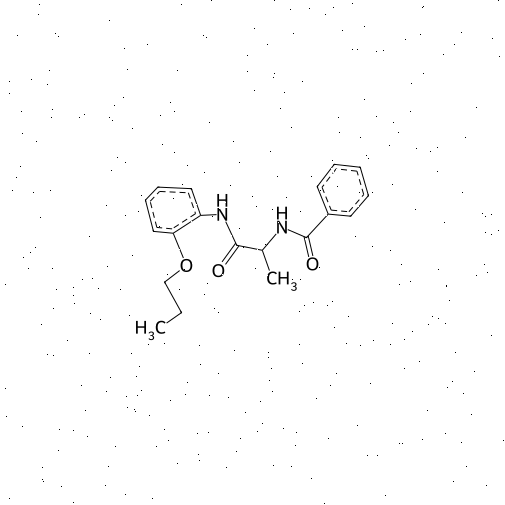 CCCOc1ccccc1NC(=O)C(C)NC(=O)c1ccccc1